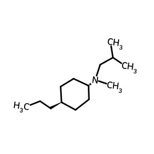 CCC[C@H]1CC[C@H](N(C)CC(C)C)CC1